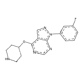 Fc1cccc(-n2ncc3c(OC4CCNCC4)ncnc32)c1